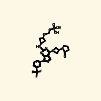 O=C1CCCN1C1CN(c2nc(NC3CC(OCOP(=O)(O)O)C3)nc3c2cnn3-c2cccc(C(F)(F)F)c2)C1